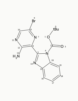 CC(C)(C)OC(=O)n1c(-c2nc(Br)cnc2N)nc2ccccc21